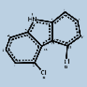 Clc1cccc2[nH]c3cccc(Cl)c3c12